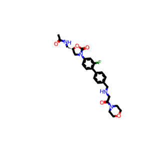 CC(=O)NC[C@H]1CN(c2ccc(-c3ccc(CNCC(=O)N4CCOCC4)cc3)c(F)c2)C(=O)O1